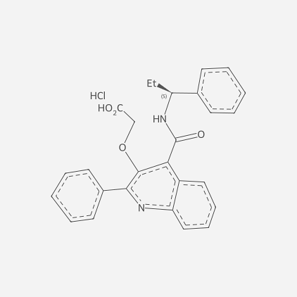 CC[C@H](NC(=O)c1c(OCC(=O)O)c(-c2ccccc2)nc2ccccc12)c1ccccc1.Cl